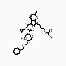 COC(=O)NCCCn1nc([C@@H](C)N(C(=O)[C@H]2CN[C@@H](COCc3ccccc3)CO2)C2CC2)c2ccc(C)nc21